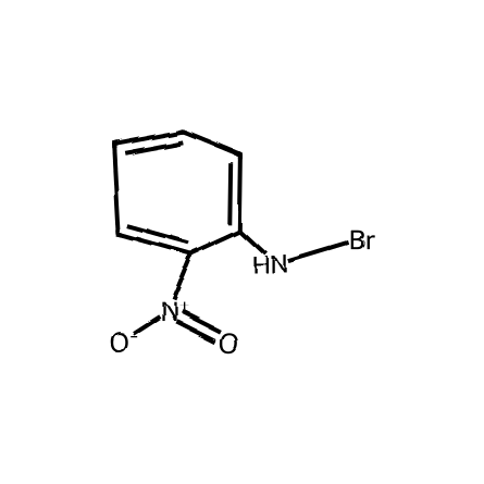 O=[N+]([O-])c1ccccc1NBr